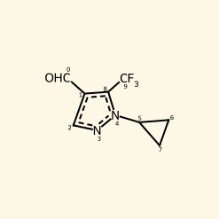 O=Cc1cnn(C2CC2)c1C(F)(F)F